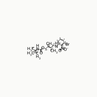 C/C(CNc1cccc(Br)c1[N+](=O)[O-])=C(/C)COC(=O)NC(C)(C)C